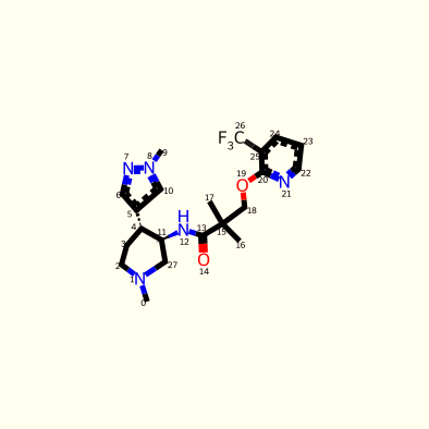 CN1CC[C@H](c2cnn(C)c2)[C@@H](NC(=O)C(C)(C)COc2ncccc2C(F)(F)F)C1